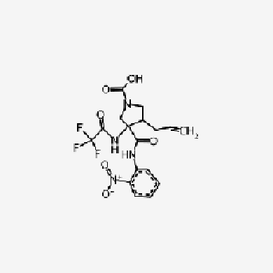 C=CCC1CN(C(=O)O)CC1(NC(=O)C(F)(F)F)C(=O)Nc1ccccc1[N+](=O)[O-]